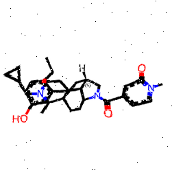 CCc1ccc(O)cc1C12CCN(CC3CC3)C(C)C13CCC1C2[C@@H](CN1C(=O)c1ccn(C)c(=O)c1)C3